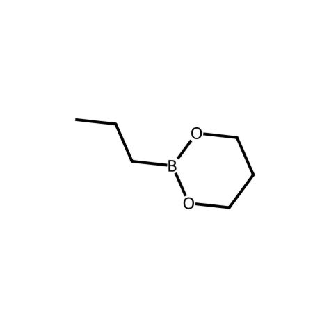 CCCB1OCCCO1